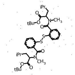 CC(C)CC(C(=O)OC(C)(C)C)N(C)C(=O)c1ccccc1SSc1ccccc1C(=O)N(C)C(CC(C)C)C(=O)OC(C)(C)C